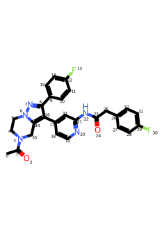 CC(=O)N1CCn2nc(-c3ccc(F)cc3)c(-c3ccnc(NC(=O)Cc4ccc(F)cc4)c3)c2C1